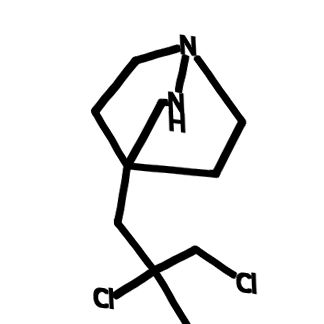 CC(Cl)(CCl)CC12CCN(CC1)NC2